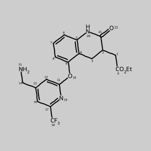 CCOC(=O)CC1Cc2c(cccc2Oc2cc(CN)cc(C(F)(F)F)n2)NC1=O